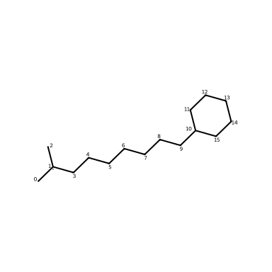 C[C](C)CCCCCCCC1CCCCC1